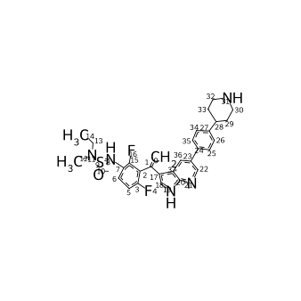 C=C(c1c(F)ccc(N[S+]([O-])N(C)CC)c1F)c1c[nH]c2ncc(-c3ccc(C4CCNCC4)cc3)cc12